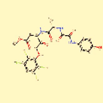 CC(C)[C@H](NC(=O)C(=O)Nc1ccc(O)cc1)C(=O)NC(CC(=O)OC(C)(C)C)C(=O)COc1c(F)c(F)cc(F)c1F